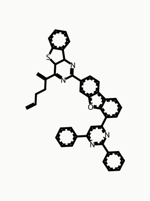 C=CCCC(=C)C1=NC(c2ccc3c(c2)oc2c(-c4cc(-c5ccccc5)nc(-c5ccccc5)n4)cccc23)=NC2c3ccccc3SC12